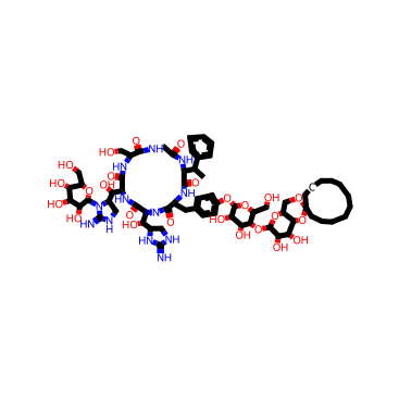 CC(c1ccccc1)C1NC(=O)CNC(=O)C(CO)NC(=O)C(C(O)C2CNC(=N)N2C2OC(CO)C(O)C(O)C2O)NC(=O)C(C(O)C2CNC(=N)N2)NC(=O)C(Cc2ccc(OC3OC(CO)C(OC4OC5COC6(CCCCCCCCCCC6)OC5C(O)C4O)C(O)C3O)cc2)NC1=O